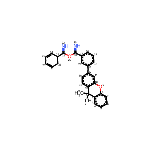 CC1(C)c2ccccc2Oc2cc(-c3cccc(C(=N)OC(=N)C4C=CC=CC4)c3)ccc21